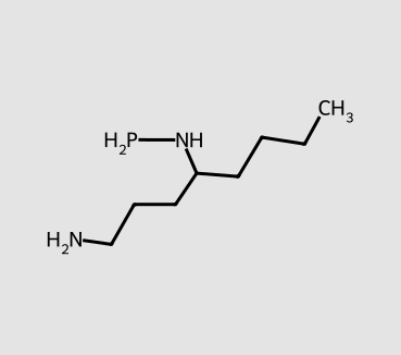 CCCCC(CCCN)NP